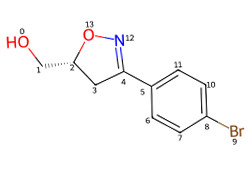 OC[C@H]1CC(c2ccc(Br)cc2)=NO1